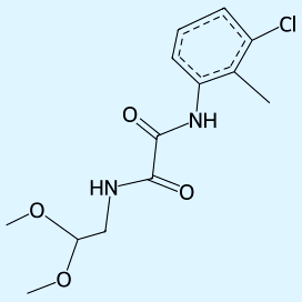 COC(CNC(=O)C(=O)Nc1cccc(Cl)c1C)OC